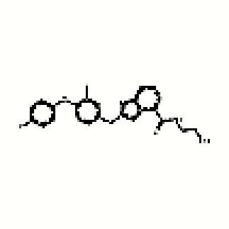 Cc1cc(Cn2cc3c(C(=O)NCCO)nccc3n2)cnc1Oc1ccc(F)cc1